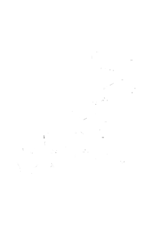 COCCN(CCN1C(=O)c2ccccc2C1=O)c1ccc(/N=N/c2sc(C=O)c(Cl)c2C#N)c(C)c1